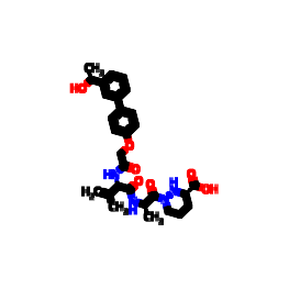 C=C(C)[C@H](NC(=O)COc1ccc(-c2cccc([C@@H](C)O)c2)cc1)C(=O)N[C@@H](C)C(=O)N1CCC[C@@H](C(=O)O)N1